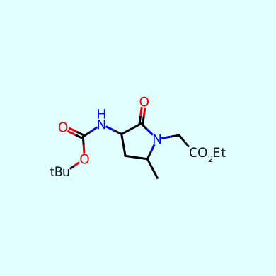 CCOC(=O)CN1C(=O)C(NC(=O)OC(C)(C)C)CC1C